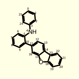 c1ccc(Nc2ccccc2-c2ccc3c(c2)oc2ccccc23)cc1